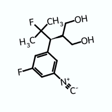 [C-]#[N+]c1cc(F)cc([C@H](C(CO)CO)C(C)(C)F)c1